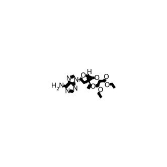 C=C[C@@]12C[C@H](n3cnc4c(N)ncnc43)O[C@@H]1C2OC(C(=O)OCC)C(=O)OCC